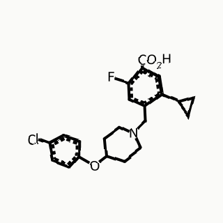 O=C(O)c1cc(C2CC2)c(CN2CCC(Oc3ccc(Cl)cc3)CC2)cc1F